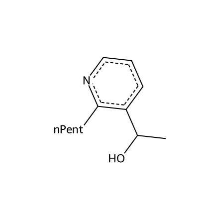 CCCCCc1ncccc1C(C)O